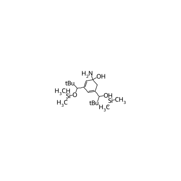 C[SiH](C)OC(C1=CC(N)(O)CC(C(O[SiH](C)C)C(C)(C)C)=C1)C(C)(C)C